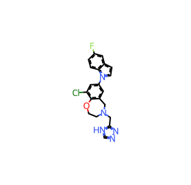 Fc1ccc2c(ccn2-c2cc(Cl)c3c(c2)CN(Cc2nnc[nH]2)CCO3)c1